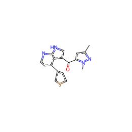 Cc1cc(C(=O)c2c[nH]c3nccc(-c4ccsc4)c23)n(C)n1